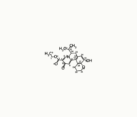 CCOC(=O)c1cn2c(cc1=O)-c1c(cc(O)c3c1CCCO3)CC2C(C)C